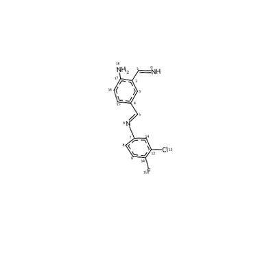 N=Cc1cc(/C=N/c2ccc(F)c(Cl)c2)ccc1N